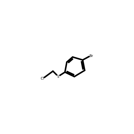 ClCSc1ccc(Br)cc1